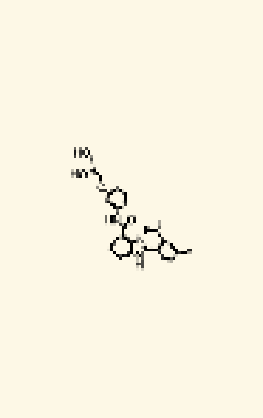 O=C(Nc1cccc(OC[C@@H](O)CO)c1)c1cccc2[nH]c(-c3ccc(F)cc3C(F)F)nc12